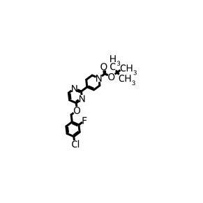 CC(C)(C)OC(=O)N1CC=C(c2nccc(OCc3ccc(Cl)cc3F)n2)CC1